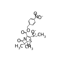 CC[S+]([O-])C1=C(C(=O)OCc2ccc([N+](=O)[O-])cc2)N2C(=O)C(C)(C)[C@@H]2S1